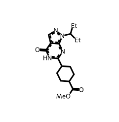 CCC(CC)n1ncc2c(=O)[nH]c(C3CCC(C(=O)OC)CC3)nc21